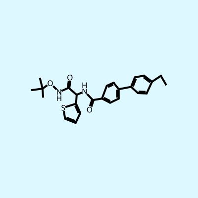 CCc1ccc(-c2ccc(C(=O)NC(C(=O)NOC(C)(C)C)c3cccs3)cc2)cc1